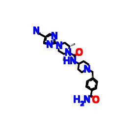 C[C@@H]1CN(c2ncc(C#N)cn2)C[C@H](C)N1C(=O)NC1CCN(Cc2ccc(C(N)=O)cc2)CC1